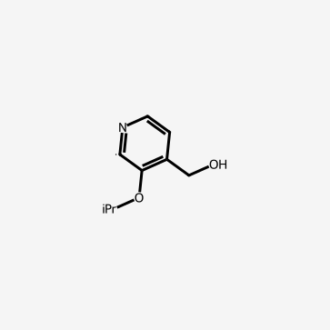 CC(C)Oc1[c]nccc1CO